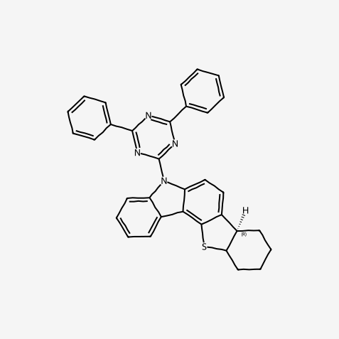 c1ccc(-c2nc(-c3ccccc3)nc(-n3c4ccccc4c4c5c(ccc43)[C@H]3CCCCC3S5)n2)cc1